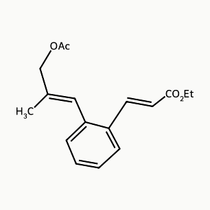 CCOC(=O)/C=C/c1ccccc1/C=C(\C)COC(C)=O